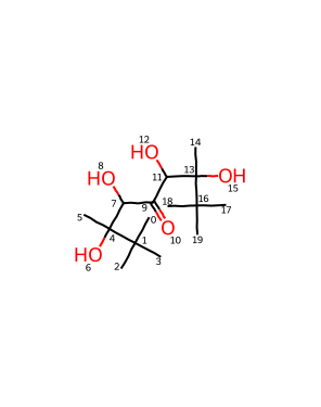 CC(C)(C)C(C)(O)C(O)C(=O)C(O)C(C)(O)C(C)(C)C